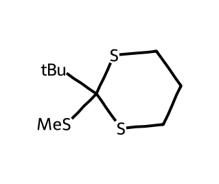 CSC1(C(C)(C)C)SCCCS1